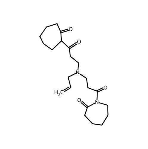 C=CCN(CCC(=O)C1CCCCCC1=O)CCC(=O)N1CCCCCC1=O